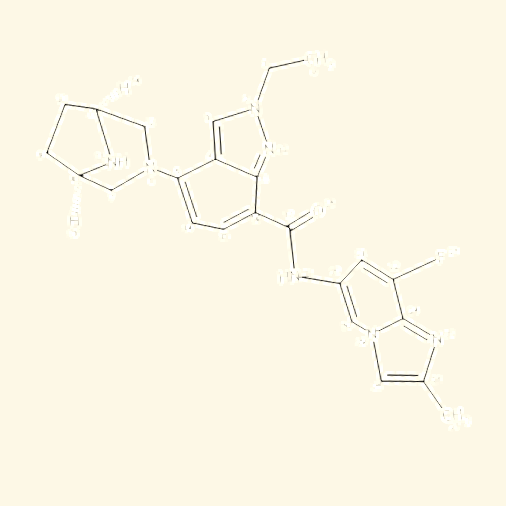 CCn1cc2c(N3C[C@H]4CC[C@@H](C3)N4)ccc(C(=O)Nc3cc(F)c4nc(C)cn4c3)c2n1